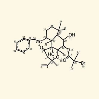 C=CC1(C)CC(=O)C2(O)C(C)(O1)C(OC(=O)C(C)(C)Br)C(O)C1C(C)(C)CCC(OCc3ccccc3)C12C